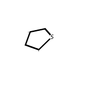 [CH]1C[CH]SC1